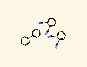 N#Cc1ccccc1C#N.N#Cc1ccccc1C#N.c1ccc(-c2ccccc2)cc1